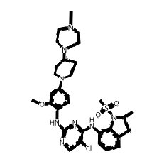 COc1cc(N2CCC(N3CCN(C)CC3)CC2)ccc1Nc1ncc(Cl)c(Nc2cccc3c2N(S(C)(=O)=O)C(C)C3)n1